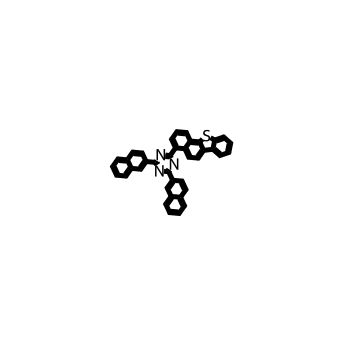 c1ccc2cc(-c3nc(-c4ccc5ccccc5c4)nc(-c4cccc5c4ccc4c6ccccc6sc54)n3)ccc2c1